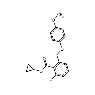 O=C(OC1CC1)c1c(F)cccc1COc1ccc(OC(F)(F)F)cc1